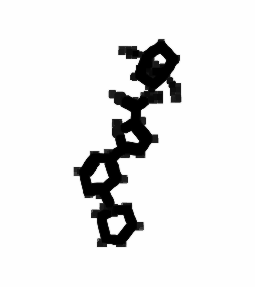 O=C(N[C@@H]1C[C@H]2CC[C@@H]1N2)c1ccc(-c2cccc(N3CCCCC3)c2)o1